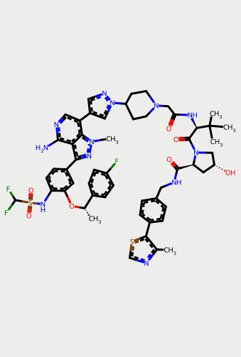 Cc1ncsc1-c1ccc(CNC(=O)[C@@H]2C[C@@H](O)CN2C(=O)[C@@H](NC(=O)CN2CCC(n3cc(-c4cnc(N)c5c(-c6ccc(NS(=O)(=O)C(F)F)c(O[C@@H](C)c7ccc(F)cc7)c6)nn(C)c45)cn3)CC2)C(C)(C)C)cc1